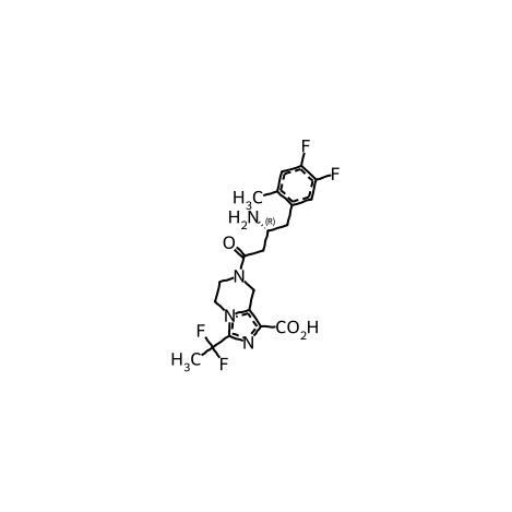 Cc1cc(F)c(F)cc1C[C@@H](N)CC(=O)N1CCn2c(C(C)(F)F)nc(C(=O)O)c2C1